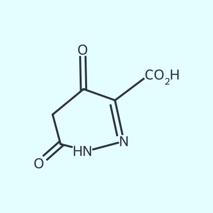 O=C1CC(=O)C(C(=O)O)=NN1